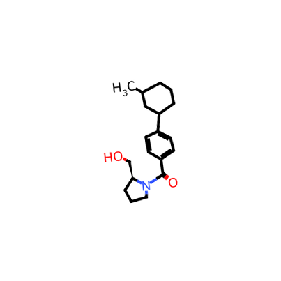 CC1CCCC(c2ccc(C(=O)N3CCC[C@H]3CO)cc2)C1